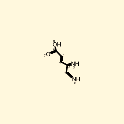 N=CC(=N)/C=C/C(=O)O